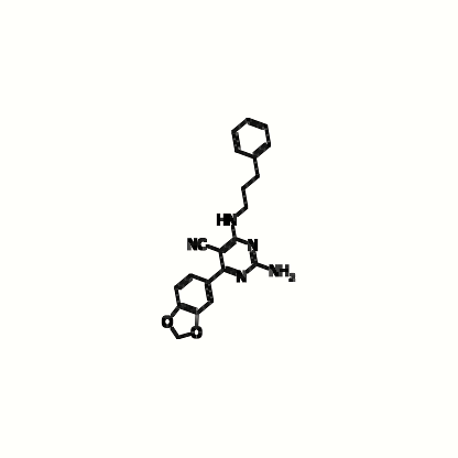 N#Cc1c(NCCCc2ccccc2)nc(N)nc1-c1ccc2c(c1)OCO2